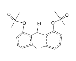 CCC(c1c(C)cccc1OP(C)(C)=O)c1c(C)cccc1OP(C)(C)=O